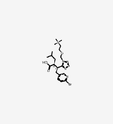 CC(C)C[C@H](C(=O)O)[C@H](Cc1ccc(Br)nc1)c1nnnn1COCC[Si](C)(C)C